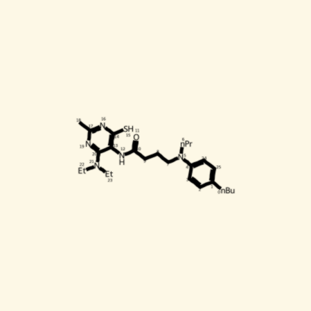 CCCCc1ccc(N(CCC)CCCC(=O)Nc2c(S)nc(C)nc2N(CC)CC)cc1